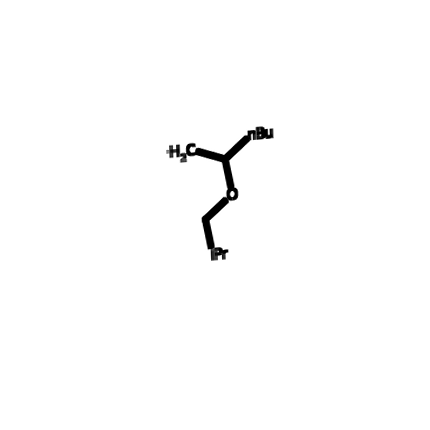 [CH2]C(CCCC)OCC(C)C